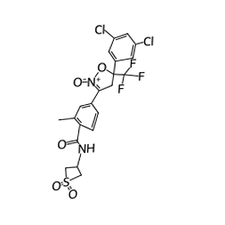 Cc1cc(C2=[N+]([O-])OC(c3cc(Cl)cc(Cl)c3)(C(F)(F)F)C2)ccc1C(=O)NC1CS(=O)(=O)C1